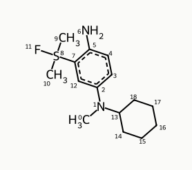 CN(c1ccc(N)c(S(C)(C)F)c1)C1CCCCC1